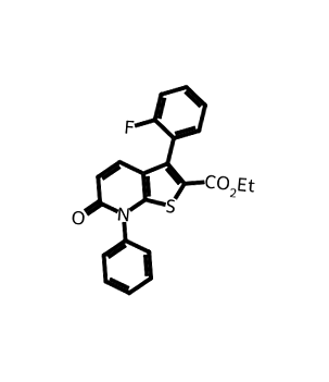 CCOC(=O)c1sc2c(ccc(=O)n2-c2ccccc2)c1-c1ccccc1F